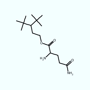 CC(C)(C)C(CCOC(=O)C(N)CCC(N)=O)C(C)(C)C